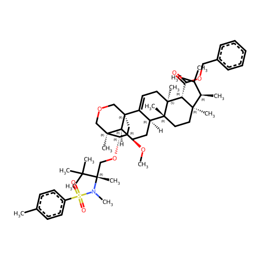 CO[C@@H]1C[C@@]23COC[C@@](C)([C@@H]2CC[C@H]2C3=CC[C@@]3(C)[C@H](C(=O)OCc4ccccc4)[C@@](C)([C@H](C)C(C)C)CC[C@]23C)[C@H]1OC[C@](C)(N(C)S(=O)(=O)c1ccc(C)cc1)C(C)(C)C